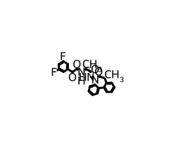 CC1C(=O)N(NC(=O)[C@H](C)NC(=O)C(=O)c2cc(F)cc(F)c2)c2ccccc2-c2ccccc21